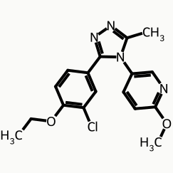 CCOc1ccc(-c2nnc(C)n2-c2ccc(OC)nc2)cc1Cl